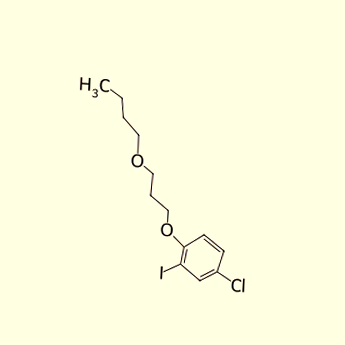 CCCCOCCCOc1ccc(Cl)cc1I